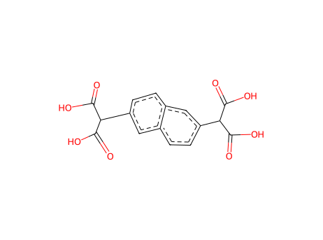 O=C(O)C(C(=O)O)c1ccc2cc(C(C(=O)O)C(=O)O)ccc2c1